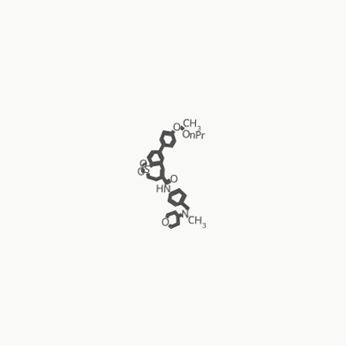 CCCOC(C)Oc1ccc(-c2ccc3c(c2)C=C(C(=O)Nc2ccc(CN(C)C4CCOCC4)cc2)CCS3(=O)=O)cc1